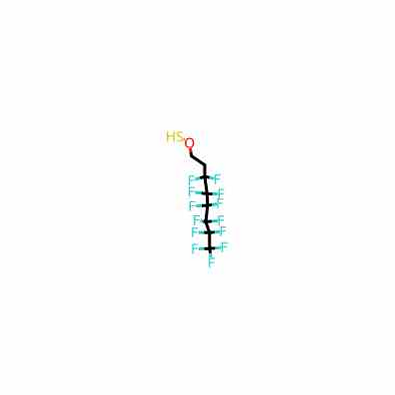 FC(F)(F)C(F)(F)C(F)(F)C(F)(F)C(F)(F)C(F)(F)CCOS